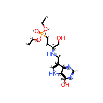 CCOP(=O)(CC[C@@H](CO)NCc1c[nH]c2c(O)ncnc12)OCC